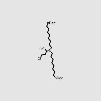 CCCCCCCCCCCCCCCCCCN(CCCCCCCCCCCCCCCCCC)C(CCC)CCCl